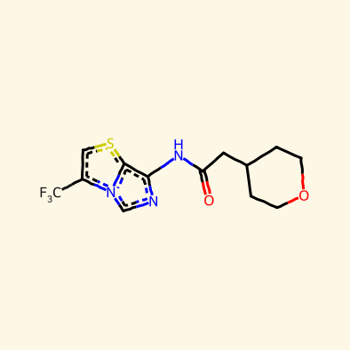 O=C(CC1CCOCC1)Nc1ncn2c(C(F)(F)F)csc12